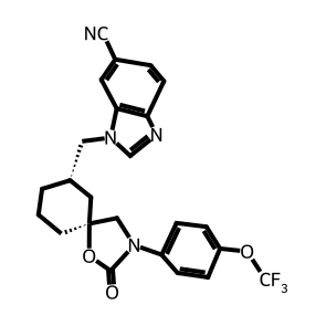 N#Cc1ccc2ncn(C[C@H]3CCC[C@]4(C3)CN(c3ccc(OC(F)(F)F)cc3)C(=O)O4)c2c1